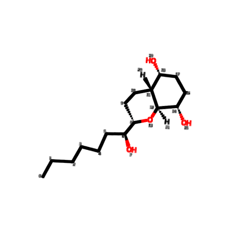 CCCCCC[C@H](O)[C@@H]1CC[C@H]2[C@H](O1)[C@@H](O)CC[C@H]2O